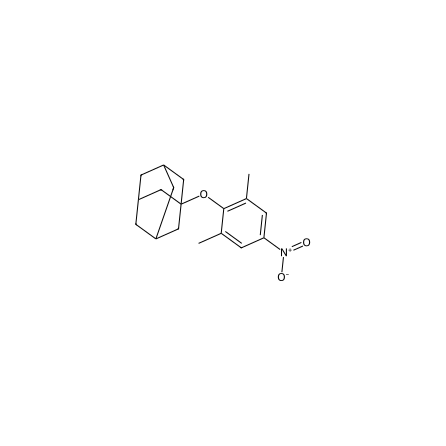 Cc1cc([N+](=O)[O-])cc(C)c1OC12CC3CC(CC(C3)C1)C2